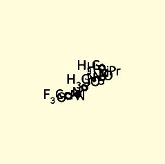 Cc1ccc(C(C)C)c(N2C(=O)CSC2=NC(=O)N[C@H](C)Cc2ccc(-c3ncn(-c4ccc(OC(F)(F)F)cc4)n3)cc2)c1